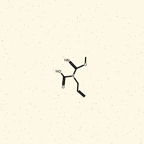 C=CCN(C(=N)OC)C(=O)O